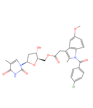 COc1ccc2c(c1)c(CC(=O)OC[C@H]1O[C@@H](n3cc(C)c(=O)[nH]c3=O)C[C@@H]1O)c(C)n2C(=O)c1ccc(Cl)cc1